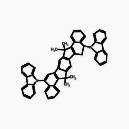 CC1(C)C2=C(CC(n3c4ccccc4c4ccccc43)c3ccccc32)c2cc3c(cc21)-c1cc(-n2c4ccccc4c4ccccc42)c2ccccc2c1C3(C)C